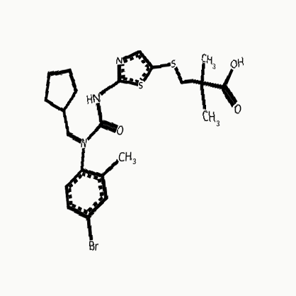 Cc1cc(Br)ccc1N(CC1CCCC1)C(=O)Nc1ncc(SCC(C)(C)C(=O)O)s1